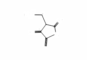 C=C1SC(=S)C(CC(=O)O)C1=O